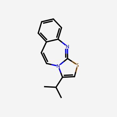 CC(C)C1=CSC2=Nc3ccccc3C=CN12